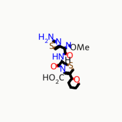 CO/N=C(\C(=O)N[C@@H]1C(=O)N2C(C(=O)O)=C(C3CCCCO3)CS[C@H]12)c1csc(N)n1